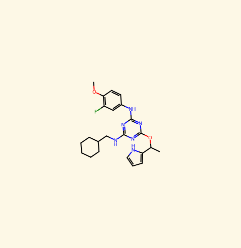 COc1ccc(Nc2nc(NCC3CCCCC3)nc(OC(C)c3ccc[nH]3)n2)cc1F